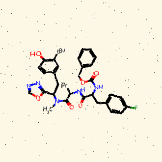 CC(C)C(NC(=O)C(Cc1ccc(F)cc1)NC(=O)OCc1ccccc1)C(=O)N(C)C(Cc1ccc(O)c(C(C)(C)C)c1)c1nnco1